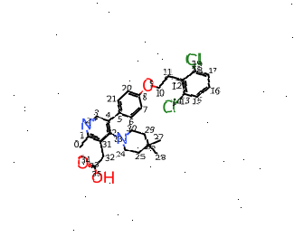 Cc1ncc(-c2ccc(OCCc3c(Cl)cccc3Cl)cc2)c(N2CCC(C)(C)CC2)c1CC(=O)O